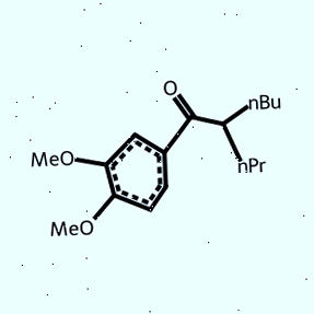 CCCCC(CCC)C(=O)c1ccc(OC)c(OC)c1